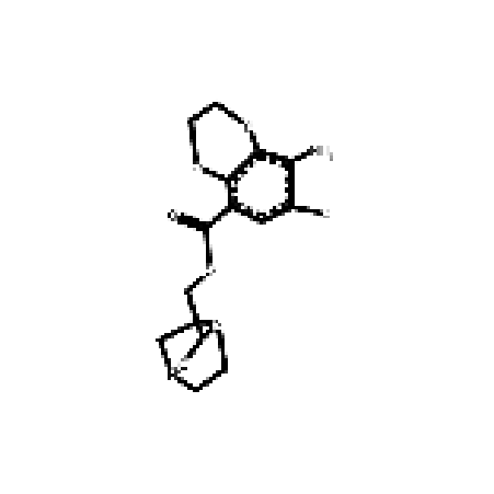 Nc1c(Cl)cc(C(=O)OCC2CN3CCN2CC3)c2c1OCCO2